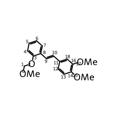 COCOc1ccccc1C=Cc1ccc(OC)c(OC)c1